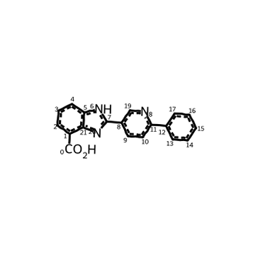 O=C(O)c1cccc2[nH]c(-c3ccc(-c4ccccc4)nc3)nc12